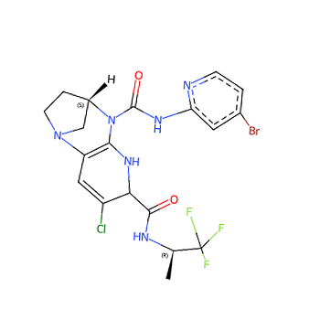 C[C@@H](NC(=O)C1NC2=C(C=C1Cl)N1CC[C@@H](C1)N2C(=O)Nc1cc(Br)ccn1)C(F)(F)F